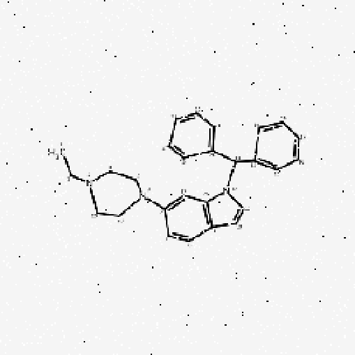 CCN1CCN(c2ccc3ccn(C(c4ccccc4)c4ccccc4)c3c2)CC1